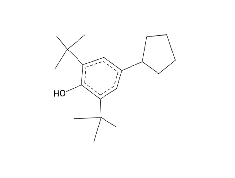 CC(C)(C)c1cc(C2CCCC2)cc(C(C)(C)C)c1O